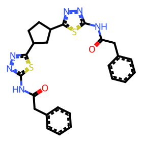 O=C(Cc1ccccc1)Nc1nnc(C2CCC(c3nnc(NC(=O)Cc4ccccc4)s3)C2)s1